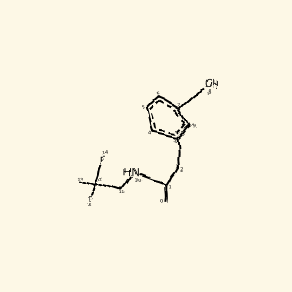 CC(Cc1cccc(O)c1)NCC(C)(F)F